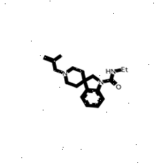 C=C(C)CN1CCC2(CC1)CN(C(=O)NCC)c1ccccc12